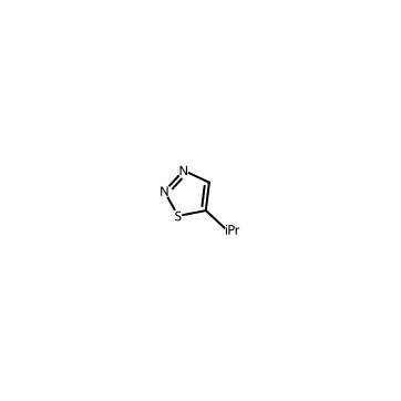 CC(C)c1cnns1